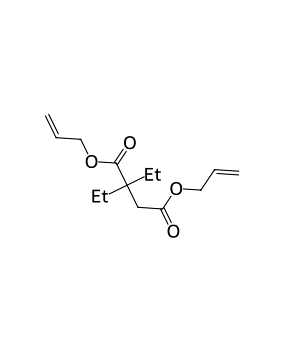 C=CCOC(=O)CC(CC)(CC)C(=O)OCC=C